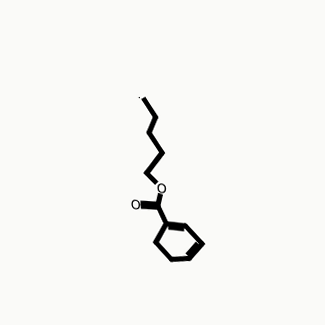 [CH2]CCCCOC(=O)C1=CC=CCC1